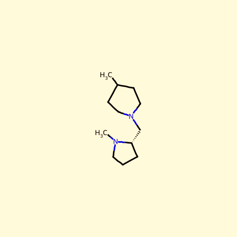 CC1CCN(C[C@@H]2CCCN2C)CC1